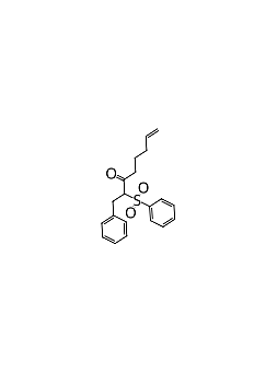 C=CCCCC(=O)C(Cc1ccccc1)S(=O)(=O)c1ccccc1